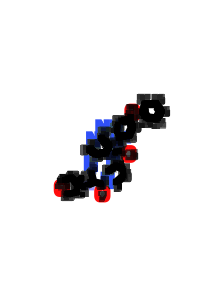 CC1(/C=C(\C#N)C(=O)N2CCC[C@@H](n3c(=O)n(-c4ccc(Oc5ccccc5)cc4)c4c(N)nccc43)C2)CCOCC1